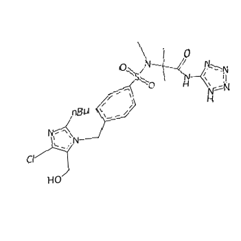 CCCCc1nc(Cl)c(CO)n1Cc1ccc(S(=O)(=O)N(C)C(C)(C)C(=O)Nc2nnn[nH]2)cc1